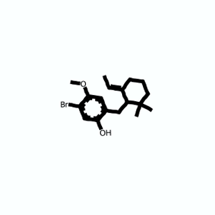 CC=C1CCCC(C)(C)C1Cc1cc(OC)c(Br)cc1O